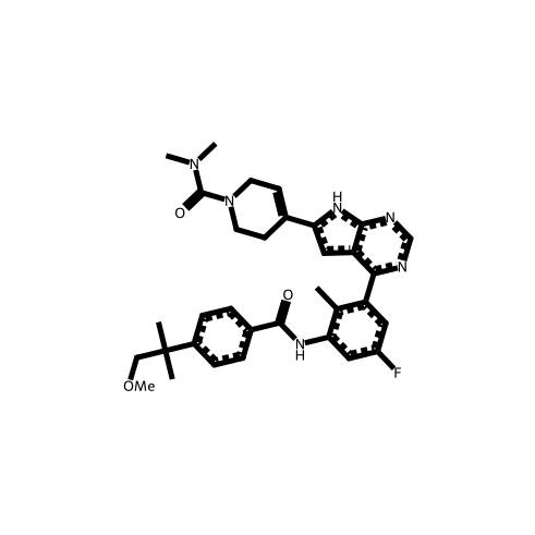 COCC(C)(C)c1ccc(C(=O)Nc2cc(F)cc(-c3ncnc4[nH]c(C5=CCN(C(=O)N(C)C)CC5)cc34)c2C)cc1